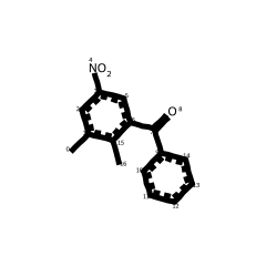 Cc1cc([N+](=O)[O-])cc(C(=O)c2ccccc2)c1C